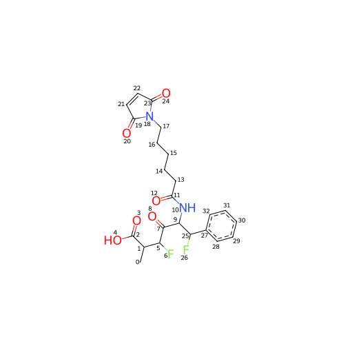 CC(C(=O)O)C(F)C(=O)C(NC(=O)CCCCCN1C(=O)C=CC1=O)C(F)c1ccccc1